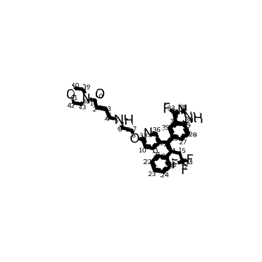 O=C(C=CCNCCOc1ccc(/C(=C(/CC(F)(F)F)c2ccccc2)c2ccc3[nH]nc(F)c3c2)cn1)N1CCOCC1